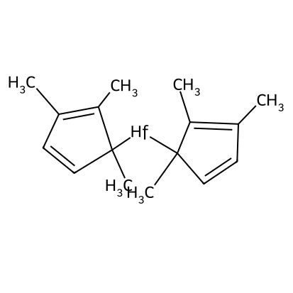 CC1=C(C)[C](C)([Hf][C]2(C)C=CC(C)=C2C)C=C1